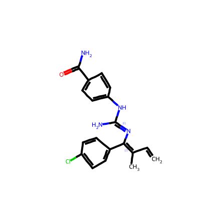 C=C/C(C)=C(\N=C(/N)Nc1ccc(C(N)=O)cc1)c1ccc(Cl)cc1